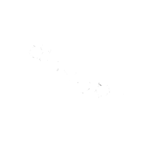 COc1ccc(C(=O)OCC/C=C(\C)CCOC(=O)c2ccc(C)cc2)cc1